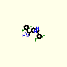 Fc1cc(F)cc(-c2cnc3ccc(-c4c[nH]nc4-c4c(F)cccc4F)cn23)c1